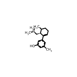 Cc1cc(O)cc(C2=CCCC(C)[C@@H]2CN(C)C)c1